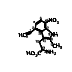 C#Cc1ccc([N+](=O)[O-])c2[nH]c(C)c(CC(N)C(=O)O)c12